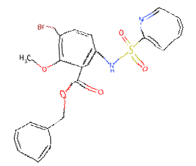 COc1c(Br)ccc(NS(=O)(=O)c2ccccn2)c1C(=O)OCc1ccccc1